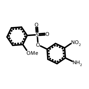 COc1ccccc1S(=O)(=O)Oc1ccc(N)c([N+](=O)[O-])c1